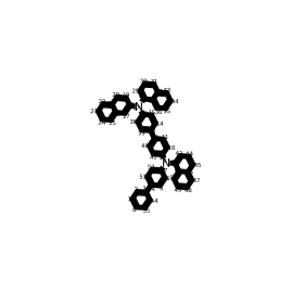 c1ccc(-c2ccc(N(c3ccc(-c4ccc(N(c5ccc6ccccc6c5)c5cccc6ccccc56)cc4)cc3)c3cccc4ccccc34)cc2)cc1